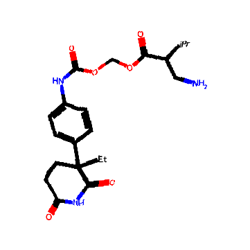 CCC1(c2ccc(NC(=O)OCOC(=O)C(CN)C(C)C)cc2)CCC(=O)NC1=O